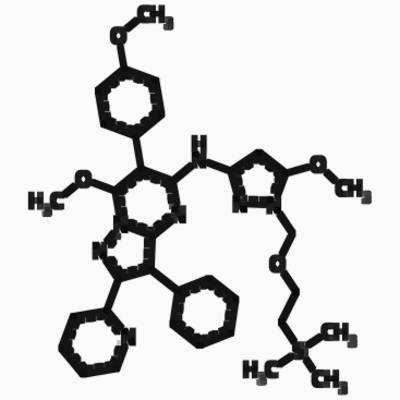 COc1ccc(-c2c(Nc3cc(OC)n(COCC[Si](C)(C)C)n3)nc3c(-c4ccccc4)c(-c4ccccn4)nn3c2OC)cc1